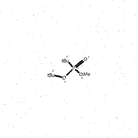 COP(=O)(OC(C)(C)C)C(C)(C)C